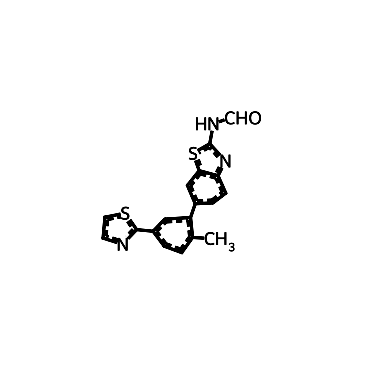 Cc1ccc(-c2nccs2)cc1-c1ccc2nc(NC=O)sc2c1